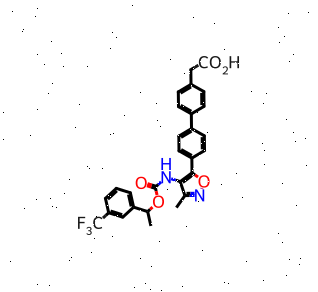 Cc1noc(-c2ccc(-c3ccc(CC(=O)O)cc3)cc2)c1NC(=O)OC(C)c1cccc(C(F)(F)F)c1